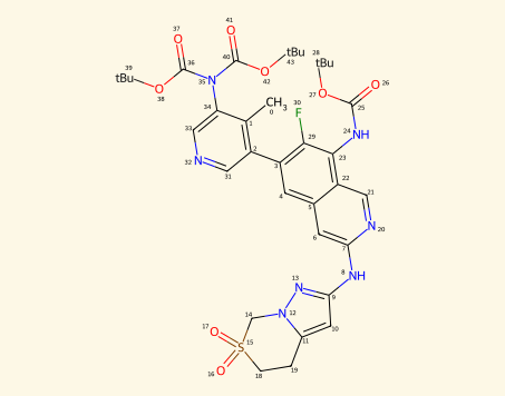 Cc1c(-c2cc3cc(Nc4cc5n(n4)CS(=O)(=O)CC5)ncc3c(NC(=O)OC(C)(C)C)c2F)cncc1N(C(=O)OC(C)(C)C)C(=O)OC(C)(C)C